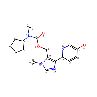 CN(C1CCCC1)C(O)OCc1c(-c2ccc(O)cn2)ncn1C